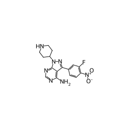 Nc1ncnc2c1c(-c1ccc([N+](=O)[O-])c(F)c1)nn2C1CCNCC1